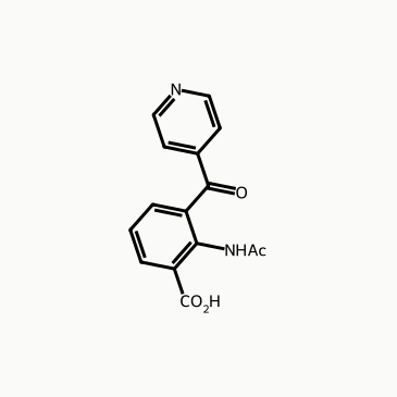 CC(=O)Nc1c(C(=O)O)cccc1C(=O)c1ccncc1